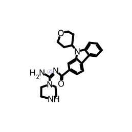 N/C(=N/C(=O)c1ccc2c3ccccc3n(C3CCOCC3)c2c1)N1CCNCC1